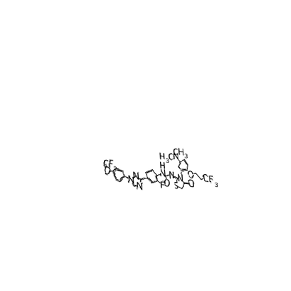 CN(C)c1ccc(OCCC(F)(F)F)c(N2C(=O)CS/C2=N\C(=O)Nc2ccc(-c3ncn(-c4ccc(OC(F)(F)F)cc4)n3)cc2F)c1